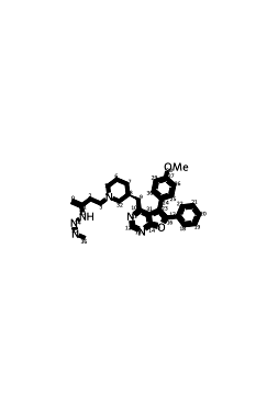 C=C(CCN1CCC[C@@H](Cc2ncnc3oc(-c4ccccc4)c(-c4ccc(OC)cc4)c23)C1)N/N=N\C